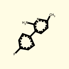 Cc1ccc(-c2ccc(F)cc2)c(N)n1